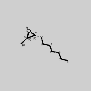 CCCCCCC[C@H]1O[C@@H]1C